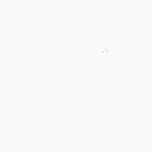 Cc1cc(Br)c2c(c1)CC(C)C2